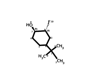 CC(C)(C)C1CC[C@@H](O)[C@H](F)C1